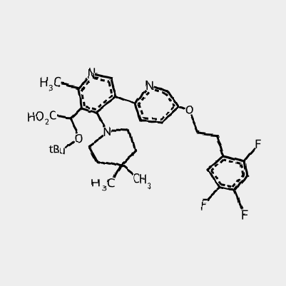 Cc1ncc(-c2ccc(OCCc3cc(F)c(F)cc3F)cn2)c(N2CCC(C)(C)CC2)c1C(OC(C)(C)C)C(=O)O